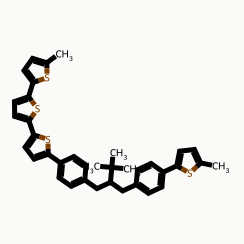 Cc1ccc(-c2ccc(CC(Cc3ccc(-c4ccc(-c5ccc(-c6ccc(C)s6)s5)s4)cc3)C(C)(C)C)cc2)s1